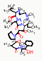 CCC(C)C(C(CC(=O)N1CCC[C@H]1C(OC)C(C)C(=O)NC(C)C(O)c1ccccc1)OC)N(C)C(=O)C(NC(=O)C(C(C)C)N(C)CCNC)C(C)C